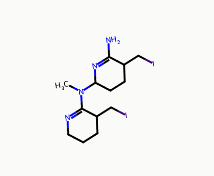 CN(C1=NCCCC1CI)C1CCC(CI)C(N)=N1